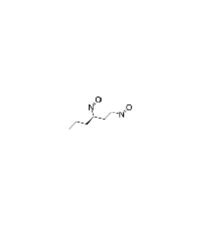 CCC[C@H](CCN=O)N=O